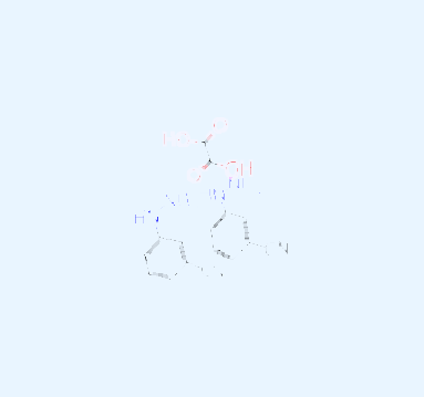 N#Cc1cccc(NN)c1.N#Cc1cccc(NN)c1.O=C(O)C(=O)O